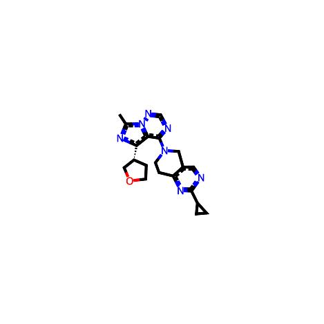 Cc1nc([C@@H]2CCOC2)c2c(N3CCc4nc(C5CC5)ncc4C3)ncnn12